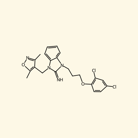 Cc1noc(C)c1Cn1c(=N)n(CCCOc2ccc(Cl)cc2Cl)c2ccccc21